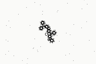 Clc1cc2oc3ccccc3c2cc1N(c1ccccc1)c1ccc2c(c1)sc1ccc(N(c3ccccc3)c3ccccc3)cc12